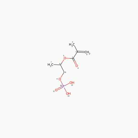 C=C(C)C(=O)OC(C)COP(=O)(O)O